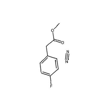 COC(=O)Cc1ccc(F)cc1.N#N